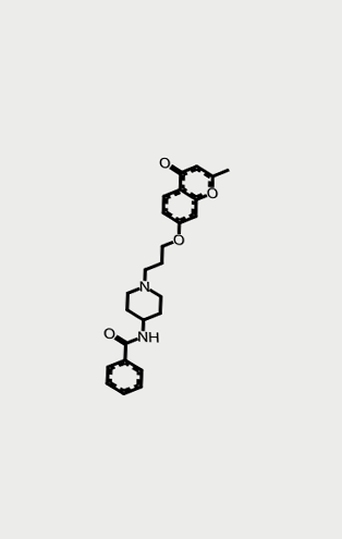 Cc1cc(=O)c2ccc(OCCCN3CCC(NC(=O)c4ccccc4)CC3)cc2o1